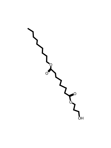 CCCCCCCCCOC(=O)CCCCCCC(=O)OCCCO